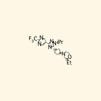 CC[C@H]1CN([C@@H]2CC[C@H](c3nc(-c4cnc(C(F)(F)F)nc4)nn3C(C)C)C2)CCO1